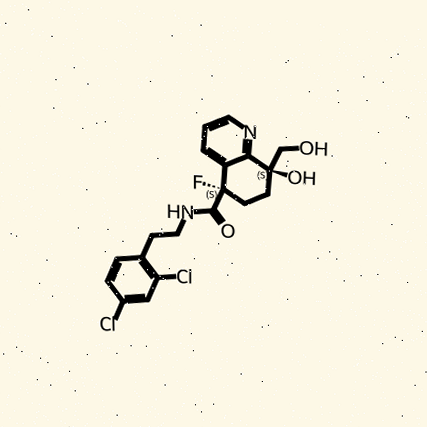 O=C(NCCc1ccc(Cl)cc1Cl)[C@]1(F)CC[C@@](O)(CO)c2ncccc21